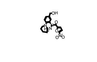 NN(C(=O)c1ccc([N+](=O)[O-])o1)c1cc(CO)ccc1N1CCCCC1